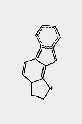 C1=CC2CCNC2=C2C=c3ccccc3=C12